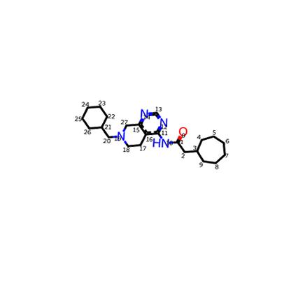 O=C(CC1CCCCCC1)Nc1ncnc2c1CCN(CC1CCCCC1)C2